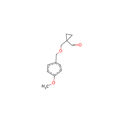 COc1ccc(COCC2(C=O)CC2)cc1